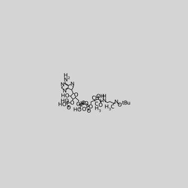 C/C(CCNC(=O)[C@@H](O)C(C)(C)COP(=O)(O)OP(=O)(O)OCC1OC(C2C=Nc3c(N)ncnc32)C(O)C1OP(=O)(O)O)=N\OC(C)(C)C